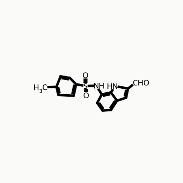 Cc1ccc(S(=O)(=O)Nc2cccc3cc(C=O)[nH]c23)cc1